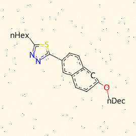 CCCCCCCCCCOc1ccc2cc(-c3nnc(CCCCCC)s3)ccc2c1